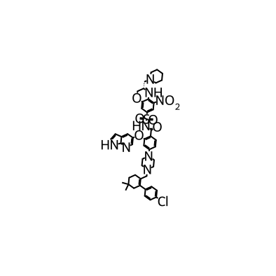 CC1(C)CCC(CN2CCN(c3ccc(C(=O)NS(=O)(=O)c4cc5c(c([N+](=O)[O-])c4)N[C@@H](CN4CCCCC4)CO5)c(Oc4cnc5[nH]ccc5c4)c3)CC2)=C(c2ccc(Cl)cc2)C1